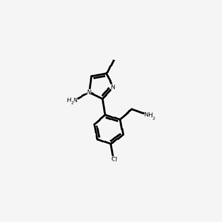 Cc1cn(N)c(-c2ccc(Cl)cc2CN)n1